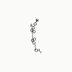 CCCCCC1=CC=C(OC(=O)CCCCCC(=O)Oc2ccc(-c3ccc(C#N)cc3)c(F)c2)CC1